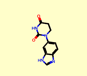 O=C1CCN(c2ccc3nc[nH]c3c2)C(=O)N1